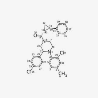 Cc1ccc(N2CCN(C(=O)[C@@H]3C[C@H]3c3ccccc3)CC2c2ccc(Cl)cc2)c(Cl)c1